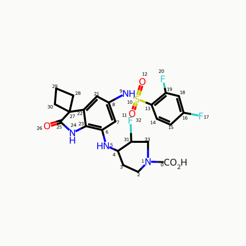 O=C(O)N1CCC(Nc2cc(NS(=O)(=O)c3ccc(F)cc3F)cc3c2NC(=O)C32CCC2)C(F)C1